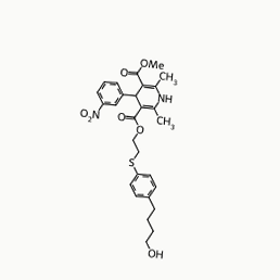 COC(=O)C1=C(C)NC(C)=C(C(=O)OCCSc2ccc(CCCCO)cc2)C1c1cccc([N+](=O)[O-])c1